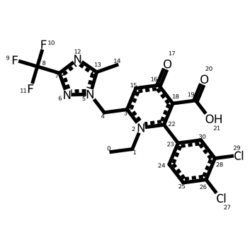 CCn1c(Cn2nc(C(F)(F)F)nc2C)cc(=O)c(C(=O)O)c1-c1ccc(Cl)c(Cl)c1